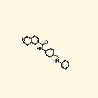 O=C(Nc1ccc(SNc2ccccc2)cc1)c1ccc2cnccc2c1